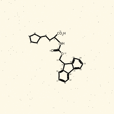 O=C(NC(CCC1CCCC1)C(=O)O)OCC1c2ccccc2-c2ccccc21